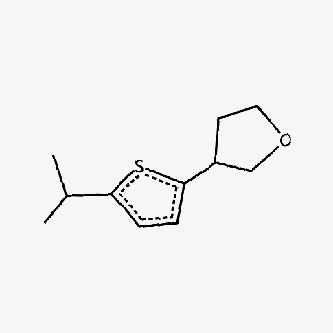 CC(C)c1ccc(C2CCOC2)s1